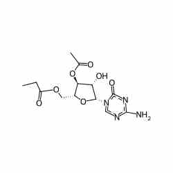 CCC(=O)OC[C@H]1O[C@@H](n2cnc(N)nc2=O)[C@@H](O)[C@@H]1OC(C)=O